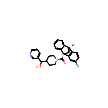 O=C(N1CCC(C(O)c2cccnc2)CC1)[C@@]12C[C@@H](c3ccccc31)c1ccc(Cl)cc12